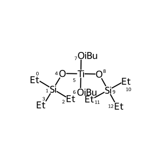 CC[Si](CC)(CC)[O][Ti]([O]CC(C)C)([O]CC(C)C)[O][Si](CC)(CC)CC